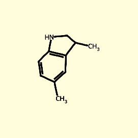 Cc1ccc2c(c1)C(C)CN2